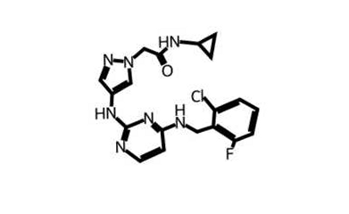 O=C(Cn1cc(Nc2nccc(NCc3c(F)cccc3Cl)n2)cn1)NC1CC1